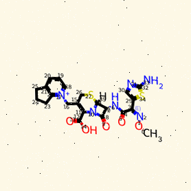 CO/N=C(\C(=O)N[C@@H]1C(=O)N2C(C(=O)O)=C(C[n+]3cccc4c3CCC4)CS[C@H]12)c1cnc(N)s1